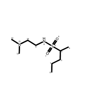 CCCC(C)S(=O)(=O)NCCN(C)C